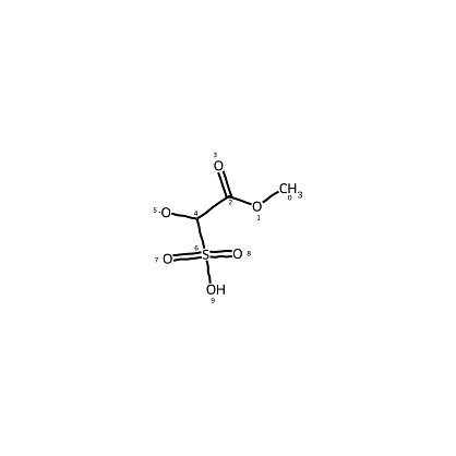 COC(=O)C([O])S(=O)(=O)O